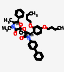 CCCCOc1ccc([C@@H]2[C@H](O[C@@]3(C)O[C@H](c4ccccc4)[C@H](C)N(C)C3=O)C(=O)N2c2ccc(-c3ccccc3)cc2)c(OCCCC)c1